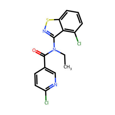 CCN(C(=O)c1ccc(Cl)nc1)c1nsc2cccc(Cl)c12